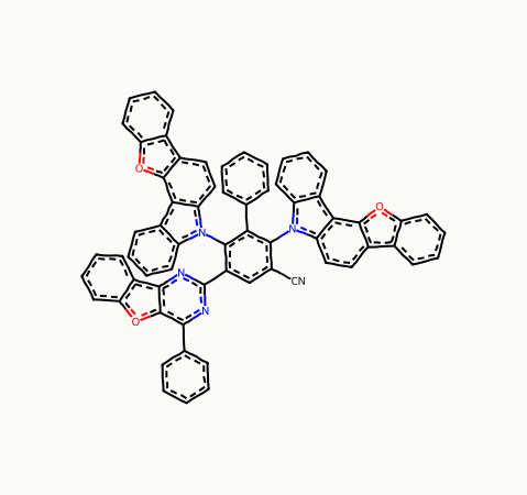 N#Cc1cc(-c2nc(-c3ccccc3)c3oc4ccccc4c3n2)c(-n2c3ccccc3c3c4oc5ccccc5c4ccc32)c(-c2ccccc2)c1-n1c2ccccc2c2c3oc4ccccc4c3ccc21